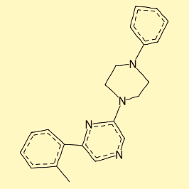 Cc1ccccc1-c1cncc(N2CCN(c3ccccc3)CC2)n1